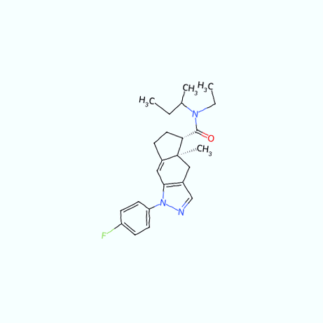 CCC(C)N(CC)C(=O)[C@H]1CCC2=Cc3c(cnn3-c3ccc(F)cc3)C[C@@]21C